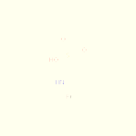 C[CH]NCS(=O)(=O)O